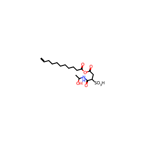 C=CCCCCCCCCC(=O)OC(=O)CC(C(=O)NC(C)O)S(=O)(=O)O